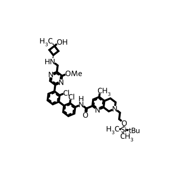 COc1nc(-c2cccc(-c3cccc(NC(=O)c4cc(C)c5c(n4)CN(CCO[Si](C)(C)C(C)(C)C)CC5)c3Cl)c2Cl)cnc1CN[C@H]1C[C@](C)(O)C1